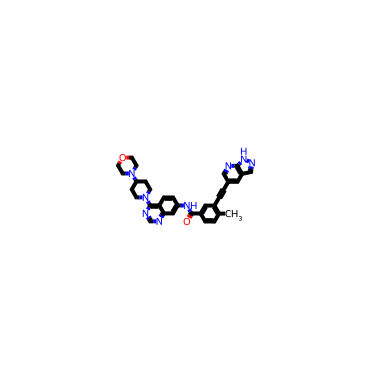 Cc1ccc(C(=O)Nc2ccc3c(N4CCC(N5CCOCC5)CC4)ncnc3c2)cc1C#Cc1cnc2[nH]ncc2c1